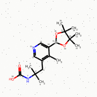 Cc1c(CC(C)(C)NC(=O)O)cncc1B1OC(C)(C)C(C)(C)O1